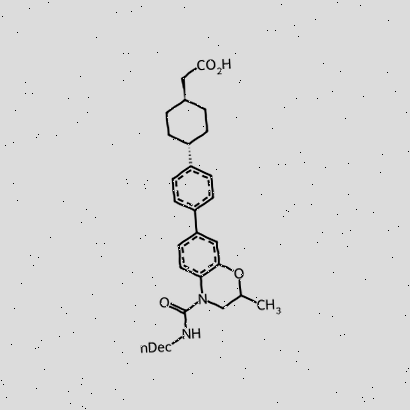 CCCCCCCCCCNC(=O)N1CC(C)Oc2cc(-c3ccc([C@H]4CC[C@H](CC(=O)O)CC4)cc3)ccc21